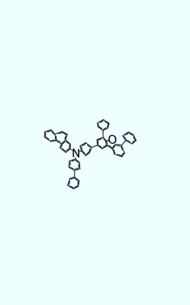 c1ccc(-c2ccc(N(c3ccc(-c4cc(-c5ccccc5)c5oc6c(-c7ccccc7)cccc6c5c4)cc3)c3ccc4c(ccc5ccccc54)c3)cc2)cc1